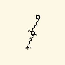 O=[PH](O)OCCCNCc1cc(Br)c(CCCCCCc2ccccc2)cc1F